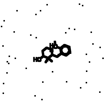 COc1ccccc1CC1NCCC(O)C1(C)C